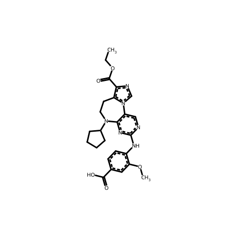 CCOC(=O)c1ncn2c1CCN(C1CCCC1)c1nc(Nc3ccc(C(=O)O)cc3OC)ncc1-2